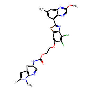 COc1cnc2c(-c3nc4c(Cl)c(F)c(OCCOC(=O)Nc5cnc6c(c5)cc(C)n6C)cc4s3)cc(C)cc2n1